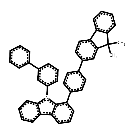 CC1(C)c2ccccc2-c2ccc(-c3ccc(-c4cccc5c6ccccc6n(-c6cccc(-c7ccccc7)c6)c45)cc3)cc21